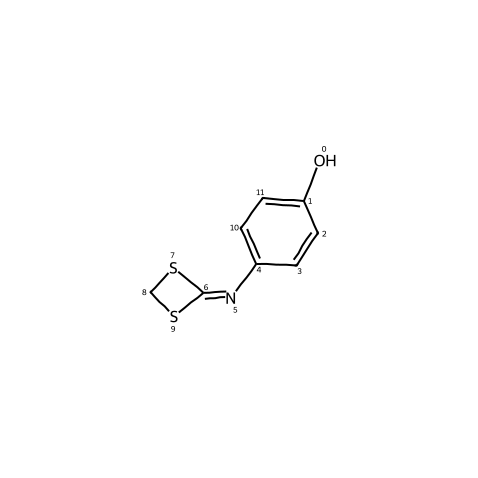 Oc1ccc(N=C2SCS2)cc1